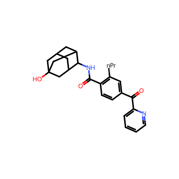 CCCc1cc(C(=O)c2ccccn2)ccc1C(=O)NC1C2CC3CC1CC(O)(C3)C2